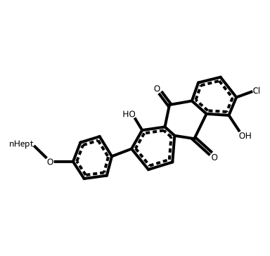 CCCCCCCOc1ccc(-c2ccc3c(c2O)C(=O)c2ccc(Cl)c(O)c2C3=O)cc1